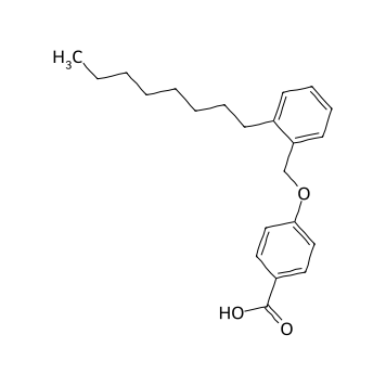 CCCCCCCCc1ccccc1COc1ccc(C(=O)O)cc1